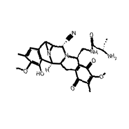 COC1=C(C)C(=O)C2=C(C1=O)[C@H](CNC(=O)[C@H](C)N)N1C(C2)[C@H]2c3c(cc(C)c(OC)c3O)C3C([C@@H]1C#N)N32